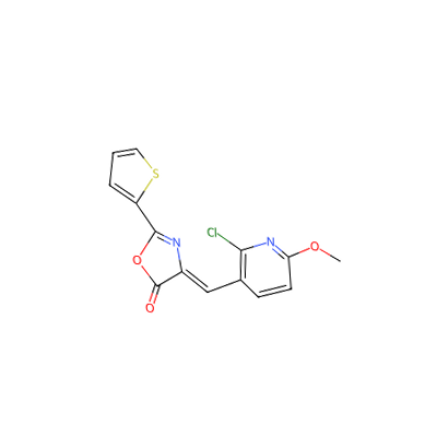 COc1ccc(/C=C2\N=C(c3cccs3)OC2=O)c(Cl)n1